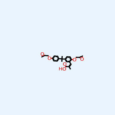 CC(=Cc1cc(C(C)(C)c2ccc(OCC3CO3)cc2)ccc1OCC1CO1)C(=O)O